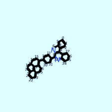 c1ccc2c(c1)cnc1c(-c3ccc(-c4ccc5ccc6cccc7ccc4c5c67)cc3)nc3ccccc3c12